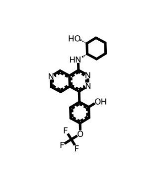 Oc1cc(OC(F)(F)F)ccc1-c1nnc(N[C@H]2CCCC[C@H]2O)c2cnccc12